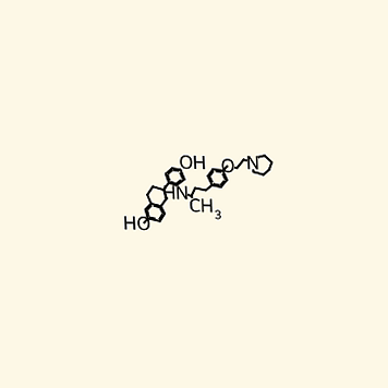 CC(CCc1ccc(OCCN2CCCCCC2)cc1)Nc1cc(O)ccc1C1CCc2cc(O)ccc2C1